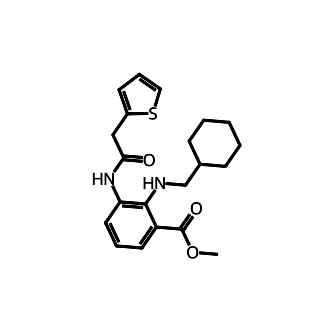 COC(=O)c1cccc(NC(=O)Cc2cccs2)c1NCC1CCCCC1